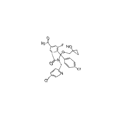 O=C(S)c1cc(F)c2c(c1)C(=O)N(Cc1ccc(Cl)cn1)C2(OCC1(O)CC1)c1ccc(Cl)cc1